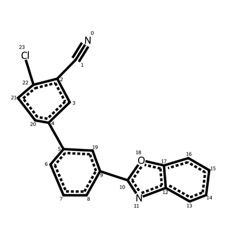 N#Cc1cc(-c2cccc(-c3nc4ccccc4o3)c2)ccc1Cl